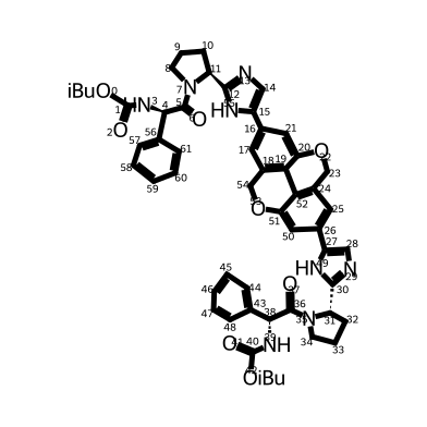 CC(C)COC(=O)N[C@@H](C(=O)N1CCC[C@H]1c1ncc(-c2cc3c4c(c2)OCc2cc(-c5cnc([C@@H]6CCCN6C(=O)[C@H](NC(=O)OCC(C)C)c6ccccc6)[nH]5)cc(c2-4)OC3)[nH]1)c1ccccc1